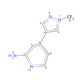 Nc1cc(-c2cnn(C(F)(F)F)c2)ccn1